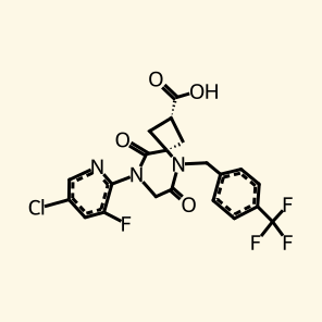 O=C1CN(c2ncc(Cl)cc2F)C(=O)[C@]2(C[C@@H](C(=O)O)C2)N1Cc1ccc(C(F)(F)F)cc1